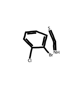 Clc1ccccc1Br.N=C=S